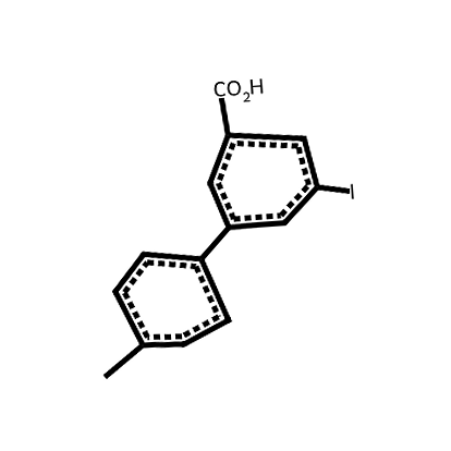 Cc1ccc(-c2cc(I)cc(C(=O)O)c2)cc1